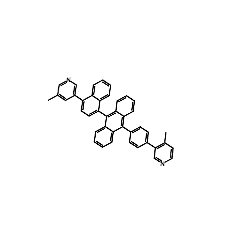 Cc1cncc(-c2ccc(-c3c4ccccc4c(-c4ccc(-c5cnccc5C)cc4)c4ccccc34)c3ccccc23)c1